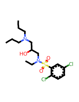 CCCN(CCC)CC(O)CN(CC)S(=O)(=O)c1cc(Cl)ccc1Cl